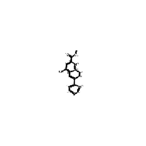 COC(=O)c1cc(Cl)c2cc(-c3ccccn3)ccc2n1